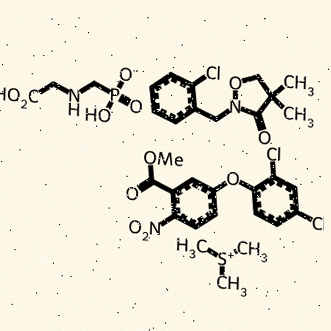 CC1(C)CON(Cc2ccccc2Cl)C1=O.COC(=O)c1cc(Oc2ccc(Cl)cc2Cl)ccc1[N+](=O)[O-].C[S+](C)C.O=C(O)CNCP(=O)([O-])O